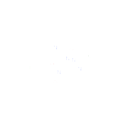 CCC1C(OC)CC(COc2cc(F)ccc2C(=O)N2Cc3nn4cc(Cl)cnc4c3C2)N1C